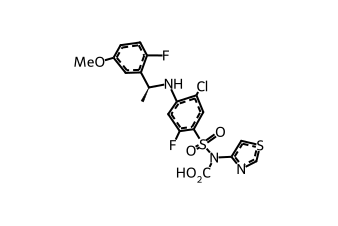 COc1ccc(F)c([C@H](C)Nc2cc(F)c(S(=O)(=O)N(C(=O)O)c3cscn3)cc2Cl)c1